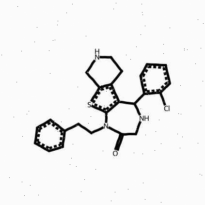 O=C1CNC(c2ccccc2Cl)c2c(sc3c2CCNC3)N1CCc1ccccc1